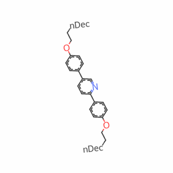 CCCCCCCCCCCCOc1ccc(-c2ccc(-c3ccc(OCCCCCCCCCCCC)cc3)nc2)cc1